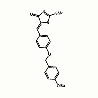 CSC1=NC(=O)C(=Cc2ccc(OCc3ccc(OCC(C)C)cc3)cc2)S1